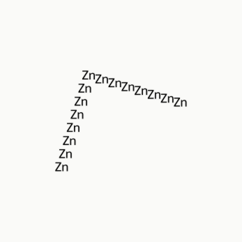 [Zn].[Zn].[Zn].[Zn].[Zn].[Zn].[Zn].[Zn].[Zn].[Zn].[Zn].[Zn].[Zn].[Zn].[Zn]